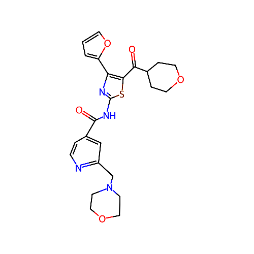 O=C(Nc1nc(-c2ccco2)c(C(=O)C2CCOCC2)s1)c1ccnc(CN2CCOCC2)c1